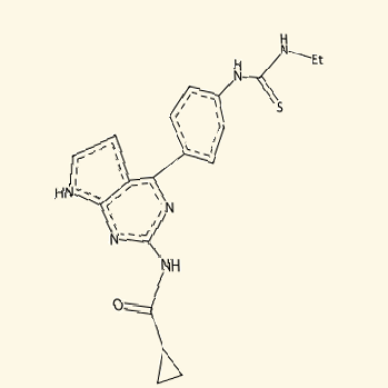 CCNC(=S)Nc1ccc(-c2nc(NC(=O)C3CC3)nc3[nH]ccc23)cc1